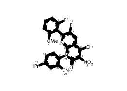 COc1cccc(F)c1-c1nc2c(cc1F)c(Cl)c([N+](=O)[O-])c(=O)n2-c1ccc(C(C)C)cc1C#N